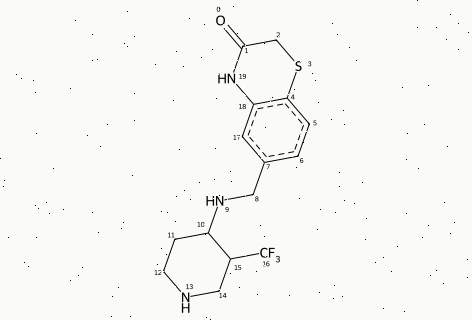 O=C1CSc2ccc(CNC3CCNCC3C(F)(F)F)cc2N1